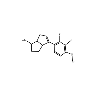 CCCC1CCC2C(c3ccc(OCC)c(F)c3F)=CCC12